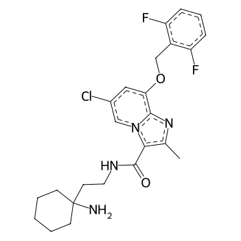 Cc1nc2c(OCc3c(F)cccc3F)cc(Cl)cn2c1C(=O)NCCC1(N)CCCCC1